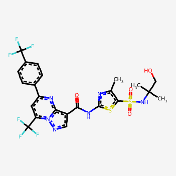 Cc1nc(NC(=O)c2cnn3c(C(F)(F)F)cc(-c4ccc(C(F)(F)F)cc4)nc23)sc1S(=O)(=O)NC(C)(C)CO